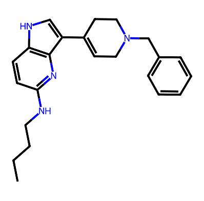 CCCCNc1ccc2[nH]cc(C3=CCN(Cc4ccccc4)CC3)c2n1